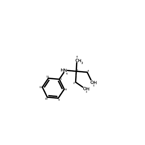 CC(CO)(CO)Nc1ccccc1